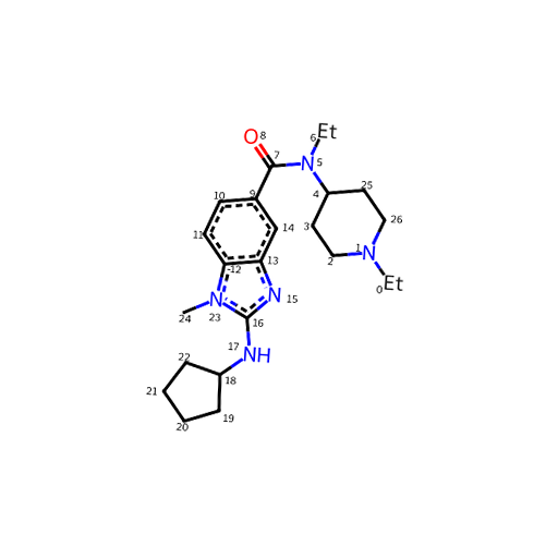 CCN1CCC(N(CC)C(=O)c2ccc3c(c2)nc(NC2CCCC2)n3C)CC1